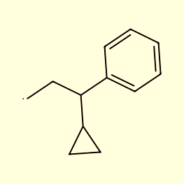 [CH2]CC(c1ccccc1)C1CC1